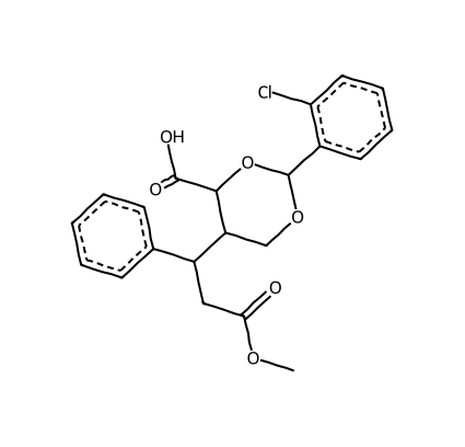 COC(=O)CC(c1ccccc1)C1COC(c2ccccc2Cl)OC1C(=O)O